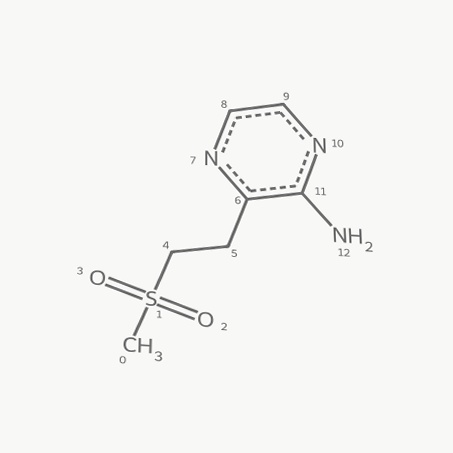 CS(=O)(=O)CCc1nccnc1N